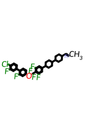 C/C=C/C1CCC(C2CCC(c3cc(F)c(C(F)(F)Oc4ccc(-c5ccc(Cl)c(F)c5)c(F)c4)c(F)c3)CC2)CC1